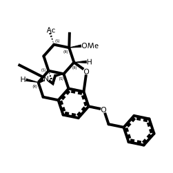 CO[C@]1(C)[C@@H](C(C)=O)C[C@]2(C)[C@H]3Cc4ccc(OCc5ccccc5)c5c4[C@@]2(CCN3C)[C@H]1O5